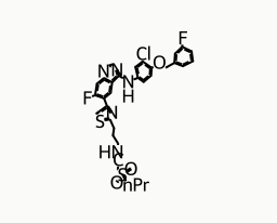 CCCS(=O)(=O)CCNCCCc1nc(-c2cc3c(Nc4ccc(OCc5cccc(F)c5)c(Cl)c4)ncnc3cc2F)cs1